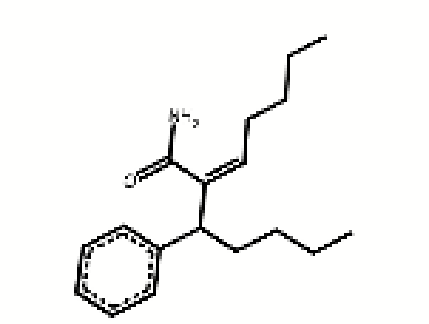 CCCC/C=C(\C(N)=O)C(CCCC)c1ccccc1